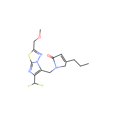 CCCC1=CC(=O)N(Cc2c(C(F)F)nc3sc(COC)nn23)C1